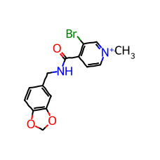 C[n+]1ccc(C(=O)NCc2ccc3c(c2)OCO3)c(Br)c1